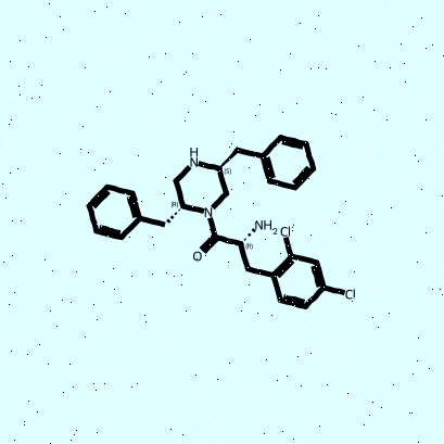 N[C@H](Cc1ccc(Cl)cc1Cl)C(=O)N1C[C@H](Cc2ccccc2)NC[C@H]1Cc1ccccc1